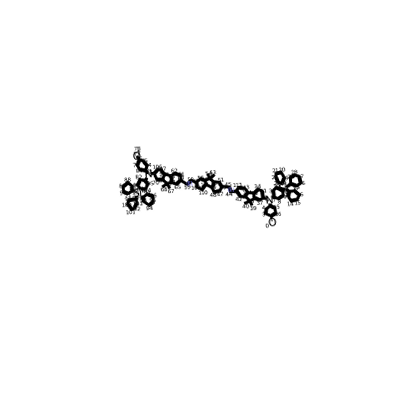 COc1ccc(N(c2ccc([Si](c3ccccc3)(c3ccccc3)c3ccccc3)cc2)c2ccc3c(c2)C(C)(C)c2cc(/C=C/c4ccc5c(c4)C(C)(C)c4cc(/C=C/c6ccc7c(c6)C(C)(C)c6cc(N(c8ccc(OC)cc8)c8ccc([Si](c9ccccc9)(c9ccccc9)c9ccccc9)cc8)ccc6-7)ccc4-5)ccc2-3)cc1